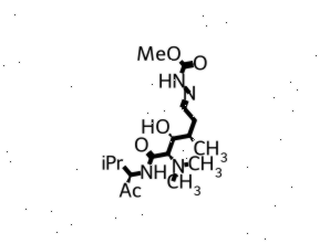 COC(=O)N/N=C/C[C@@H](C)[C@@H](O)[C@H](C(=O)N[C@@H](C(C)=O)C(C)C)N(C)C